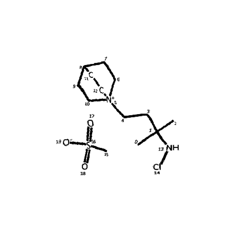 CC(C)(CC[N+]12CCC(CC1)CC2)NCl.CS(=O)(=O)[O-]